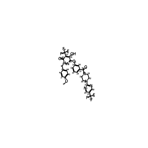 COc1ccc(Cn2nc(Oc3cccc(C(=O)N4CCN(c5ncc(C(F)(F)F)cn5)CC4)c3)c(O)c(C(F)(F)F)c2=O)cc1